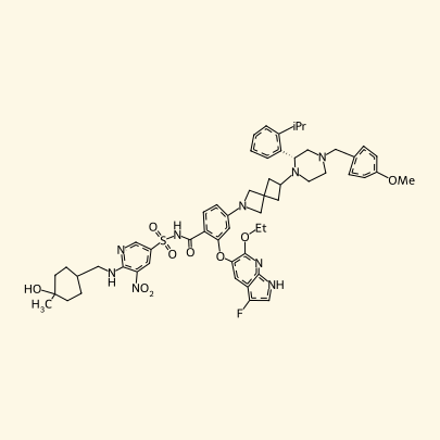 CCOc1nc2[nH]cc(F)c2cc1Oc1cc(N2CC3(CC(N4CCN(Cc5ccc(OC)cc5)C[C@H]4c4ccccc4C(C)C)C3)C2)ccc1C(=O)NS(=O)(=O)c1cnc(NCC2CCC(C)(O)CC2)c([N+](=O)[O-])c1